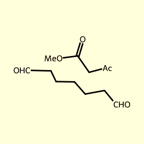 COC(=O)CC(C)=O.O=CCCCCCC=O